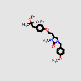 CCOC(=O)C(C)(Cc1ccc(OCCC2CN(Cc3ccc(OC(F)(F)F)cc3)C(=O)N2C)cc1)OCC